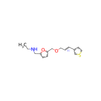 CCNCc1ccc(COC/C=C/c2ccsc2)o1